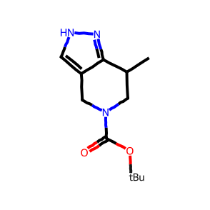 CC1CN(C(=O)OC(C)(C)C)Cc2c[nH]nc21